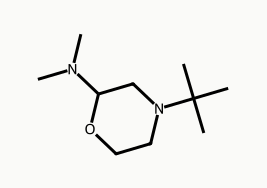 CN(C)C1CN(C(C)(C)C)CCO1